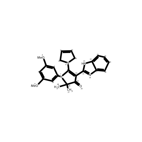 COc1cc(OC)cc(N2C(N3CC=CC3)=C(c3nc4ccccc4[nH]3)C(=O)C2(C)C)c1